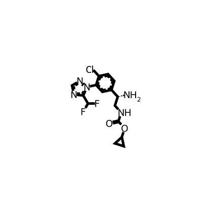 N[C@H](CNC(=O)OC1CC1)c1ccc(Cl)c(-n2ncnc2C(F)F)c1